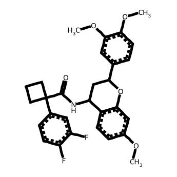 COc1ccc2c(c1)OC(c1ccc(OC)c(OC)c1)CC2NC(=O)C1(c2ccc(F)c(F)c2)CCC1